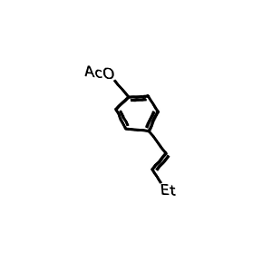 CC/C=C/c1ccc(OC(C)=O)cc1